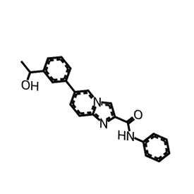 CC(O)c1cccc(-c2ccc3nc(C(=O)Nc4ccccc4)cn3c2)c1